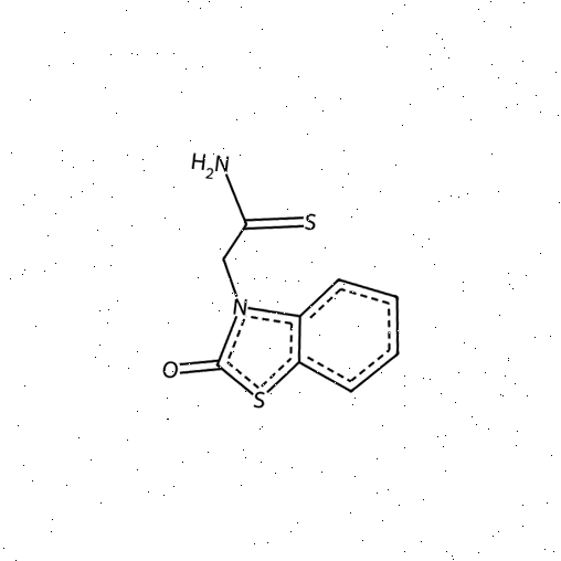 NC(=S)Cn1c(=O)sc2ccccc21